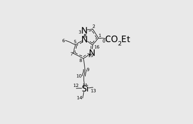 CCOC(=O)c1cnn2c(C)cc(C#C[Si](C)(C)C)nc12